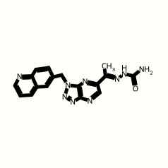 C/C(=N\NC(N)=O)c1cnc2nnn(Cc3ccc4ncccc4c3)c2n1